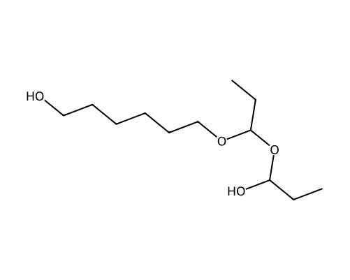 CCC(O)OC(CC)OCCCCCCO